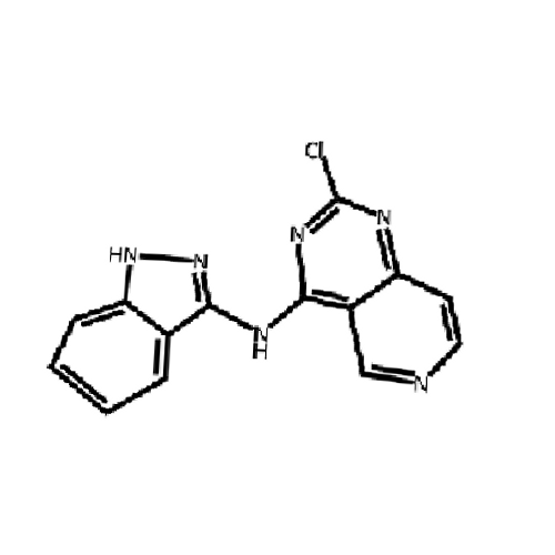 Clc1nc(Nc2n[nH]c3ccccc23)c2cnccc2n1